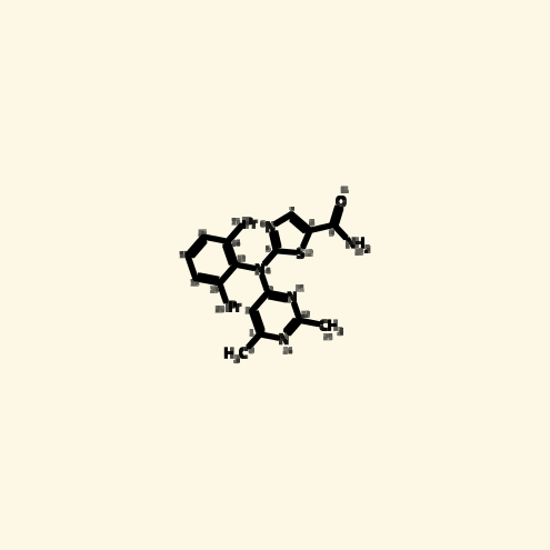 Cc1cc(N(c2ncc(C(N)=O)s2)c2c(C(C)C)cccc2C(C)C)nc(C)n1